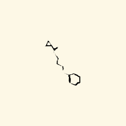 O=C(NCCCOc1cc[c]cc1)C1CC1